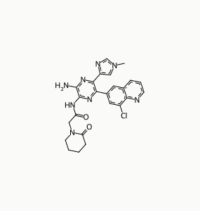 Cn1cnc(-c2nc(N)c(NC(=O)CN3CCCCC3=O)nc2-c2cc(Cl)c3ncccc3c2)c1